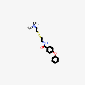 CN(C)CCSSCCNC(=O)c1ccc(Oc2ccccc2)cc1